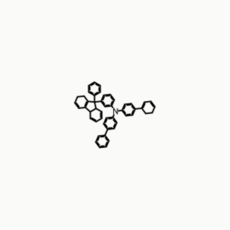 C1=CCCC(c2ccc(N(c3ccc(-c4ccccc4)cc3)c3cccc(C4(c5ccccc5)C5=C(C=CCC5)C5C=CC=CC54)c3)cc2)=C1